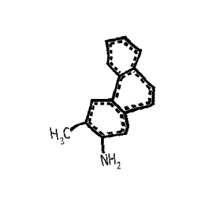 Cc1cc2c(ccc3ccccc32)cc1N